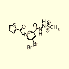 CS(=O)(=O)NNC(=O)c1cc(Br)c[n+](CC(=O)c2cccs2)c1.[Br-]